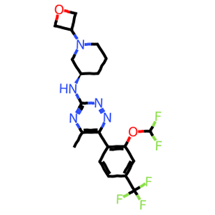 Cc1nc(N[C@@H]2CCCN(C3COC3)C2)nnc1-c1ccc(C(F)(F)F)cc1OC(F)F